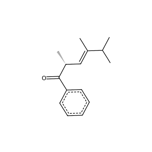 C/C(=C\[C@@H](C)C(=O)c1ccccc1)C(C)C